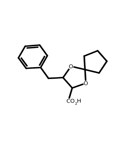 O=C(O)C1OC2(CCCC2)OC1Cc1ccccc1